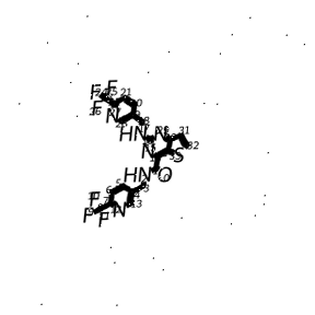 O=C(NCc1ccc(C(F)(F)F)nc1)c1nc(NCc2ccc(C(F)(F)F)nc2)nc2ccsc12